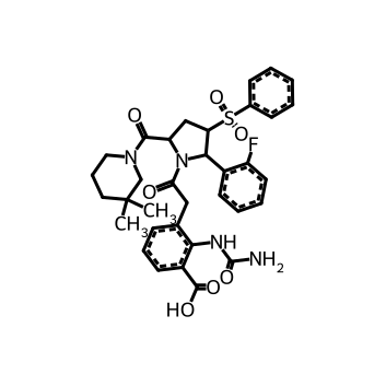 CC1(C)CCCN(C(=O)C2CC(S(=O)(=O)c3ccccc3)C(c3ccccc3F)N2C(=O)Cc2cccc(C(=O)O)c2NC(N)=O)C1